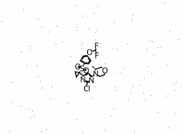 C[C@H]1COCCN1c1cc(C2(S(=O)(=O)c3ccc(OC(F)F)cc3)CC2)nc(Cl)n1